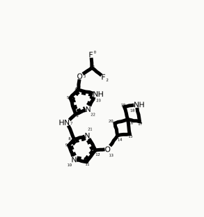 FC(F)Oc1cc(Nc2cncc(OC3CC4(CNC4)C3)n2)n[nH]1